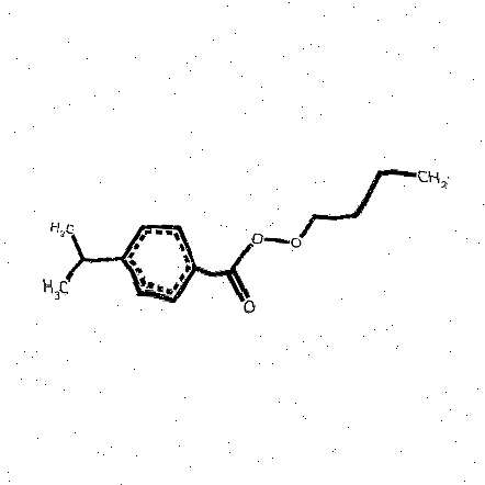 [CH2]CCCOOC(=O)c1ccc(C(C)C)cc1